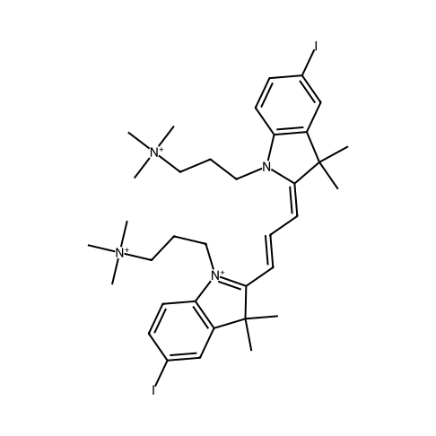 CC1(C)C(/C=C/C=C2\N(CCC[N+](C)(C)C)c3ccc(I)cc3C2(C)C)=[N+](CCC[N+](C)(C)C)c2ccc(I)cc21